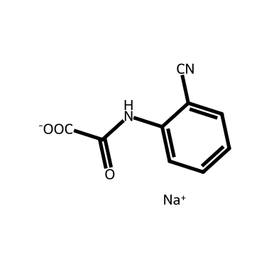 N#Cc1ccccc1NC(=O)C(=O)[O-].[Na+]